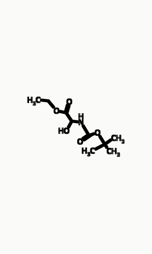 CCOC(=O)C(O)NC(=O)OC(C)(C)C